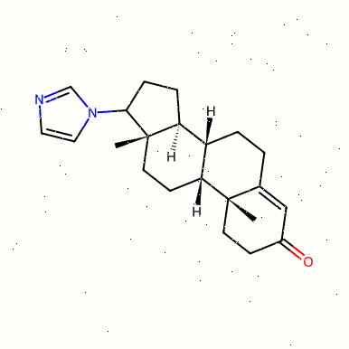 C[C@]12CCC(=O)C=C1CC[C@@H]1[C@H]2CC[C@]2(C)C(n3ccnc3)CC[C@@H]12